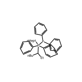 CCCCCCCP(c1ccccc1)(c1ccccc1)(C(CC)CCCC)P(c1ccccc1)c1ccccc1